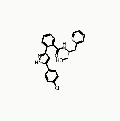 O=C(N[C@@H](CO)Cc1ccccn1)c1ccccc1-c1cc(-c2ccc(Cl)cc2)[nH]n1